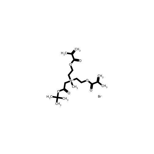 C=C(C)C(=O)OCC[N+](C)(CCOC(=O)C(=C)C)CC(=O)OC(C)(C)C.[Br-]